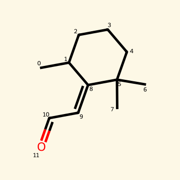 CC1CCCC(C)(C)C1=CC=O